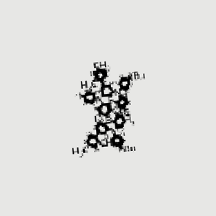 CCCCc1ccc(N2c3cccc(C)c3B3c4cc5c(cc4Oc4cc(-c6ccc(C)cc6C)cc2c43)N(c2ccc(I)cc2)c2cc(-c3ccc(C)cc3C)cc3c2B5c2cc(C)ccc2N3c2ccc(CCCC)cc2)cc1